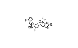 CCC(C)n1c(=O)c(-c2ccc(NS(=O)(=O)Cc3ccccc3F)c(F)c2)cc2cnc(SC)nc21